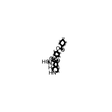 O=C(Oc1ccc(S(=O)(=O)C2(C(=O)NO)CCC3(CCNCC3)C2)cc1)C1CCCCC1